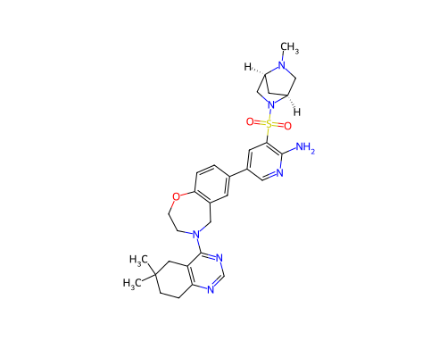 CN1C[C@@H]2C[C@H]1CN2S(=O)(=O)c1cc(-c2ccc3c(c2)CN(c2ncnc4c2CC(C)(C)CC4)CCO3)cnc1N